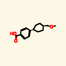 COC[C@H]1CC[C@H](c2ccc(C(=O)O)cc2)CC1